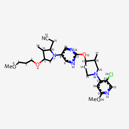 COCCCOC1CN(c2cnc(OC3CCN(c4cc(OC)ncc4Cl)CC3C)nc2)C(CC#N)C1C